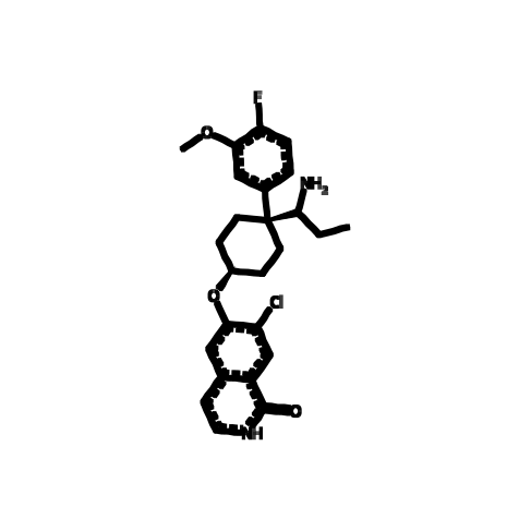 CCC(N)[C@]1(c2ccc(F)c(OC)c2)CC[C@H](Oc2cc3cc[nH]c(=O)c3cc2Cl)CC1